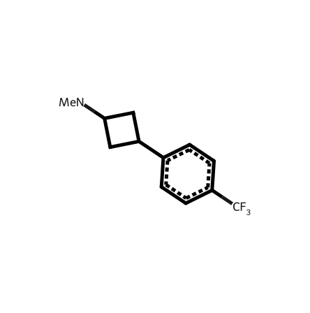 CNC1CC(c2ccc(C(F)(F)F)cc2)C1